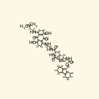 CN(C)CCNc1ccc(O)c2c1C(=O)c1c(O)ccc(NCCNC(=O)C(CCCCNC(=O)OCC3c4ccccc4-c4ccccc43)NC(=O)OC(C)(C)C)c1C2=O